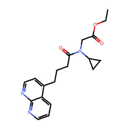 CCOC(=O)CN(C(=O)CCCc1ccnc2ncccc12)C1CC1